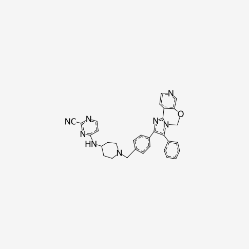 N#Cc1nccc(NC2CCN(Cc3ccc(-c4nc5n(c4-c4ccccc4)COc4cnccc4-5)cc3)CC2)n1